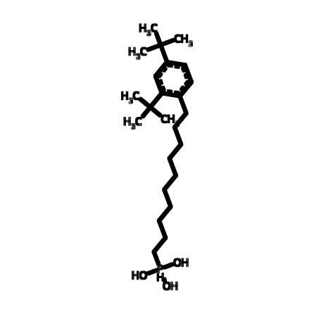 CC(C)(C)c1ccc(CCCCCCCCCC[PH](O)(O)O)c(C(C)(C)C)c1